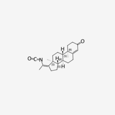 CC(N=C=O)=C1CC[C@H]2[C@@H]3CCC4=CC(=O)CC[C@]4(C)[C@H]3CC[C@]12C